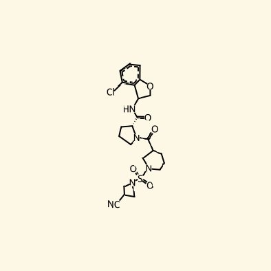 N#CC1CN(S(=O)(=O)N2CCCC(C(=O)N3CCC[C@@H]3C(=O)NC3COc4cccc(Cl)c43)C2)C1